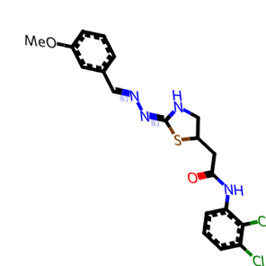 COc1cccc(/C=N/N=C2\NCC(CC(=O)Nc3cccc(Cl)c3Cl)S2)c1